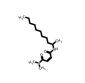 CCCCCCCCCC(C)NC(=O)/C=C\C(=O)N(C)C